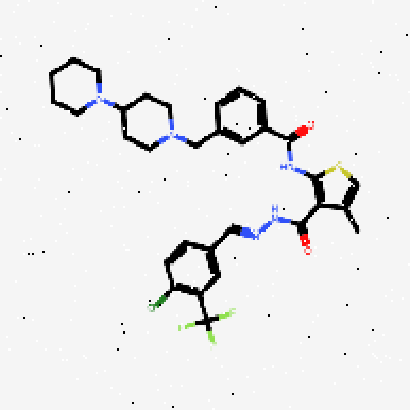 Cc1csc(NC(=O)c2cccc(CN3CCC(N4CCCCC4)CC3)c2)c1C(=O)NN=Cc1ccc(Cl)c(C(F)(F)F)c1